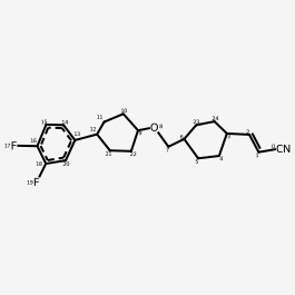 N#CC=CC1CCC(COC2CCC(c3ccc(F)c(F)c3)CC2)CC1